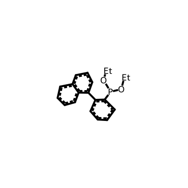 CCOP(OCC)c1ccccc1-c1cccc2ccccc12